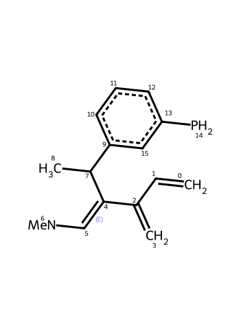 C=CC(=C)/C(=C/NC)C(C)c1cccc(P)c1